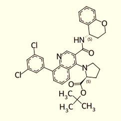 CC(C)(C)OC(=O)[C@@H]1CCCN1c1c(C(=O)N[C@H]2CCOc3ccccc32)cnc2c(-c3cc(Cl)cc(Cl)c3)cccc12